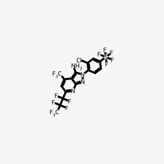 Nc1c2c(C(F)(F)F)cc(C(F)(F)C(F)(F)C(F)(F)F)nc2nn1-c1ccc(S(F)(F)(F)(F)F)cc1Cl